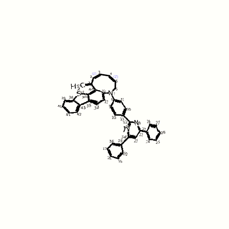 C=C1/C=C\C=C/CN(c2ccc(-c3nc(-c4ccccc4)cc(-c4ccccc4)n3)cc2)c2ccc3c(sc4ccccc43)c21